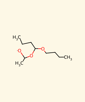 CCCCOC(CCC)OC(C)[O]